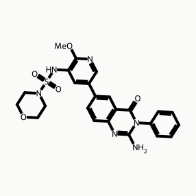 COc1ncc(-c2ccc3nc(N)n(-c4ccccc4)c(=O)c3c2)cc1NS(=O)(=O)N1CCOCC1